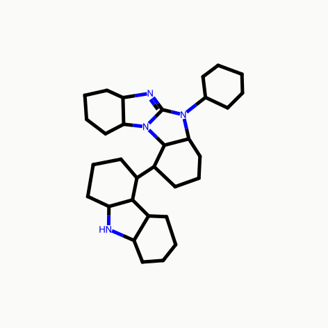 C1CCC(N2C3=NC4CCCCC4N3C3C(C4CCCC5NC6CCCCC6C54)CCCC32)CC1